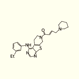 CCc1cccc(Nc2ncnc3sc4c(c23)CCN(C(=O)/C=C/CN2CCCCC2)C4)c1